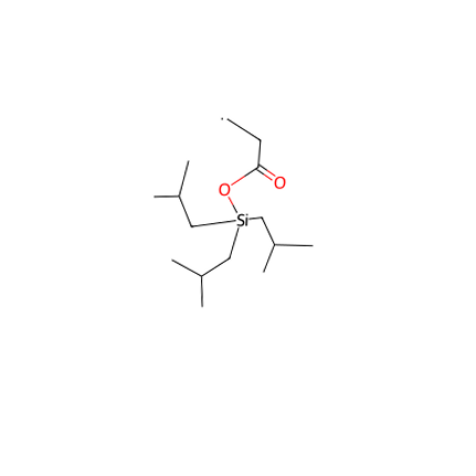 [CH2]CC(=O)O[Si](CC(C)C)(CC(C)C)CC(C)C